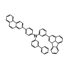 C1=CC2=CC(c3cccc(N(c4ccc(-c5ccc6c(ccc7ccccc76)c5)cc4)c4cccc(-c5ccccc5)c4)c3)=CC3c4ccccc4C(=C1)C23